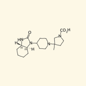 CC1(N2CCC(N3C(=O)N[C@H]4CCCC[C@@H]43)CC2)CCN(C(=O)O)C1